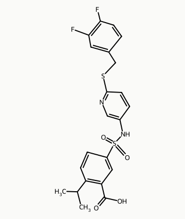 CC(C)c1ccc(S(=O)(=O)Nc2ccc(SCc3ccc(F)c(F)c3)nc2)cc1C(=O)O